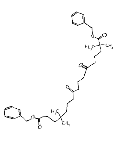 CC(C)(CCCC(=O)CCCC(=O)CCCC(C)(C)C(=O)OCc1ccccc1)CCC(=O)OCc1ccccc1